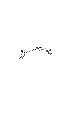 Cc1cc(OCCCCCCOc2ccnc3cc(C(F)(F)F)ccc23)ccc1N1CCN(C(=O)OC(C)(C)C)CC1